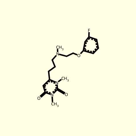 CN(CCCc1cc(=O)n(C)c(=O)n1C)CCOc1cccc(F)c1